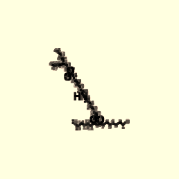 CCCCCCCCC(CCCCCCCC)OC(=O)CCCCCCCNCCCCCCCC(=O)OCCC(CCCC)CCCC